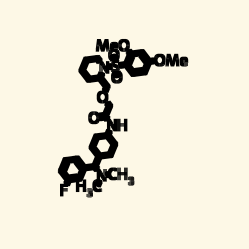 COc1ccc(S(=O)(=O)N2CCCCC2COCC(=O)NC2CCC(C(c3cccc(F)c3)N(C)C)CC2)c(OC)c1